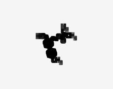 C=C(C)C(=O)OCCc1cc(-c2ccc(C)cc2)ccc1CO